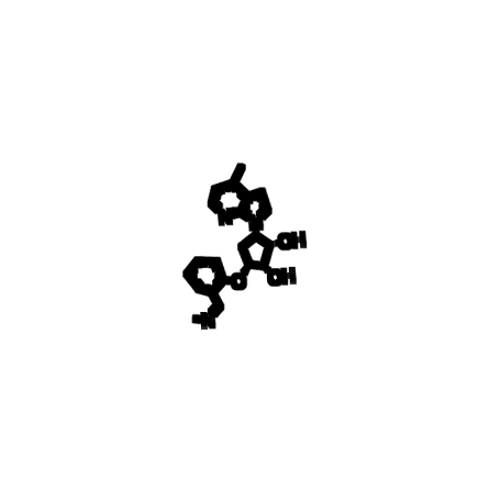 C/N=C\c1ccccc1O[C@H]1C[C@@H](n2ccc3c(C)ccnc32)[C@H](O)[C@@H]1O